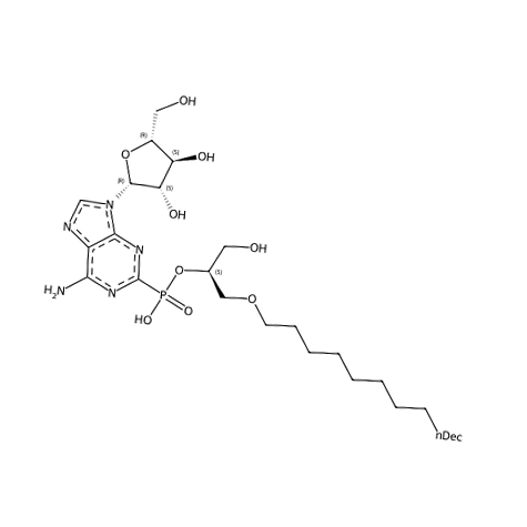 CCCCCCCCCCCCCCCCCCOC[C@H](CO)OP(=O)(O)c1nc(N)c2ncn([C@@H]3O[C@H](CO)[C@@H](O)[C@@H]3O)c2n1